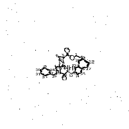 CCOC(=O)[C@@H]1CN1C(=O)N[C@@H](Cc1ccc2ccccc2c1)C(=O)NCc1ccccc1